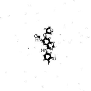 O=CNc1cc2c(Nc3ccc(F)c(Cl)c3)ncnc2cc1O[C@H]1CCOC1